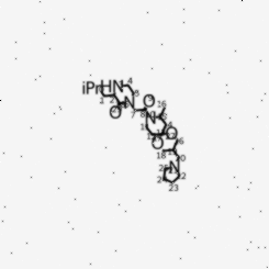 CC(C)CC1NCCN(CC(=O)N2CCC3(CC2C)OCC(CN2CCCC2)CO3)C1=O